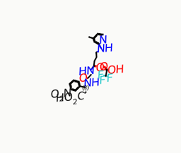 Cc1ccnc(NCCCC(=O)NCC(=O)N[C@H](CC(=O)O)c2cccc([N+](=O)[O-])c2)c1.O=C(O)C(F)(F)F